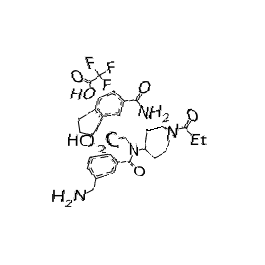 CCC(=O)N1CCC(N(CC(=O)O)C(=O)c2cccc(CN)c2)CC1.NC(=O)c1ccc2c(c1)CCC2.O=C(O)C(F)(F)F